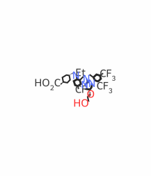 CCN(C[C@H]1CC[C@H](CC(=O)O)CC1)c1ccc(C(F)(F)F)cc1CN(Cc1cc(C(F)(F)F)cc(C(F)(F)F)c1)c1ncc(OCCO)cn1